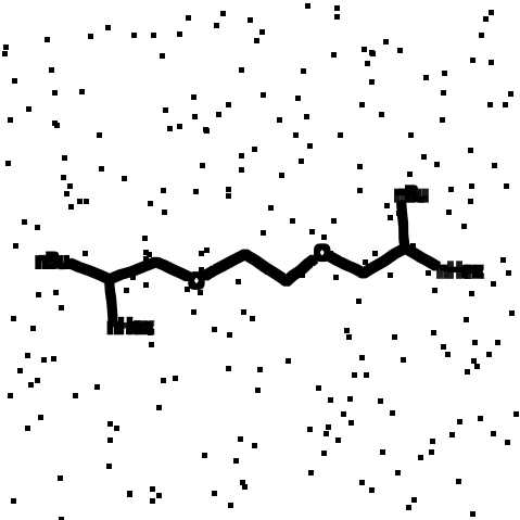 CCCCCCC(CCCC)COCCOCC(CCCC)CCCCCC